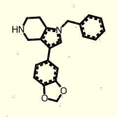 c1ccc(Cn2cc(-c3ccc4c(c3)OCO4)c3c2CCNC3)cc1